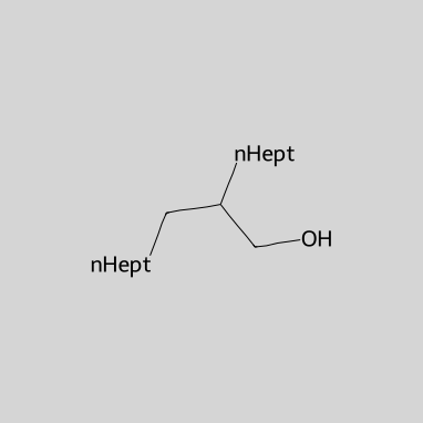 CCCCCCCCC(CO)CCCCCCC